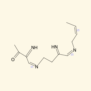 C/C=C\C/N=C\C(=N)CC/N=C\C(=N)C(C)=O